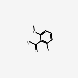 COc1cccc([O])c1C(N)=O